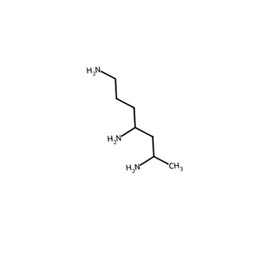 CC(N)CC(N)CCCN